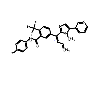 C=C/C=C(/c1ccc(C(F)(F)F)c(C(=O)Nc2ccc(F)cc2)c1)c1ncc(-c2cccnc2)n1C